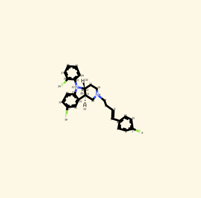 Fc1ccc(C=CCCN2CC[C@@H]3[C@@H](C2)c2cc(F)ccc2N3c2ccccc2F)cc1